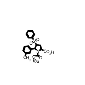 Cc1cccc(C2C(S(=O)(=O)c3ccccc3)CC(C(=O)O)N2C(=O)OC(C)(C)C)c1